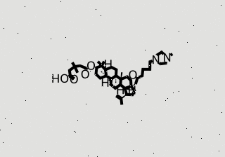 C=C(C)[C@@H]1CC[C@]2(CC(=O)CCCCN3CCN(C)CC3)CC[C@]3(C)[C@H](CC[C@@H]4[C@@]5(C)CC[C@H](OC(=O)CC(C)(C)CC(=O)O)C(C)(C)[C@@H]5CC[C@]43C)[C@@H]12